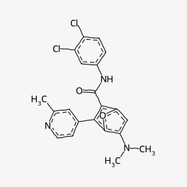 Cc1cc(-c2c(C(=O)Nc3ccc(Cl)c(Cl)c3)c3cc(N(C)C)c2o3)ccn1